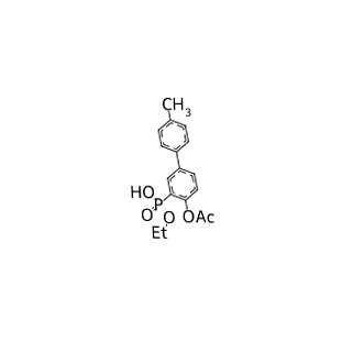 CCOP(=O)(O)c1cc(-c2ccc(C)cc2)ccc1OC(C)=O